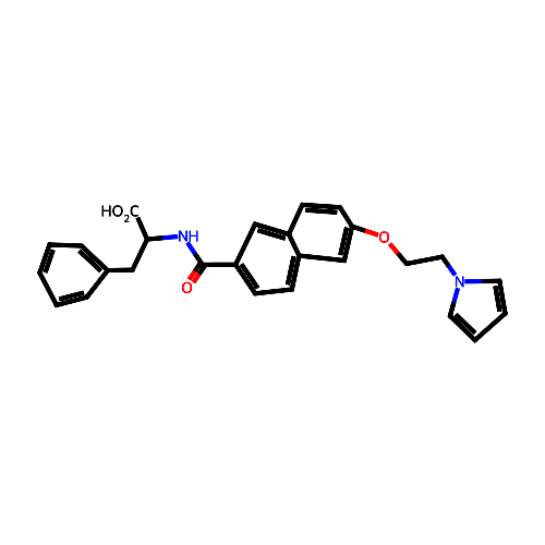 O=C(NC(Cc1ccccc1)C(=O)O)c1ccc2cc(OCCn3cccc3)ccc2c1